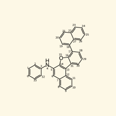 c1ccc(Nc2cc3ccccc3c3c2oc2c(-c4cccc5ccccc45)cccc23)cc1